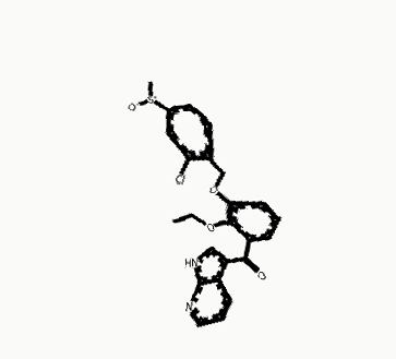 CCOc1c(OCc2ccc([S+](C)[O-])cc2Cl)cccc1C(=O)c1c[nH]c2ncccc12